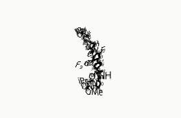 COC(=O)NC(C(=O)N1CCCC1c1nc(-c2ccc(-c3cc(F)c(NC(=O)c4ccc(N5C[C@@H](C)N(C(=O)OC(C)(C)C)C[C@H]5C)nc4)cc3OC(F)(F)F)cc2)c[nH]1)C(C)C